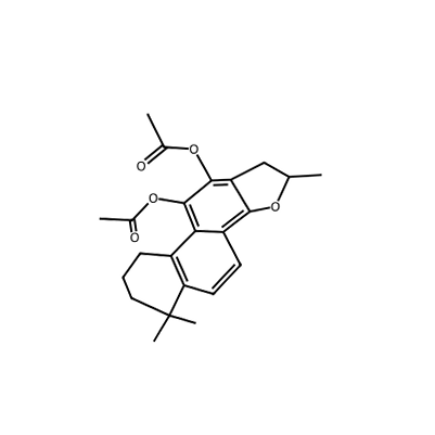 CC(=O)Oc1c2c(c3ccc4c(c3c1OC(C)=O)CCCC4(C)C)OC(C)C2